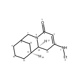 CCNC1=CC(=O)N2CC3CCC[C@@H](C3)[C@@H]2C1